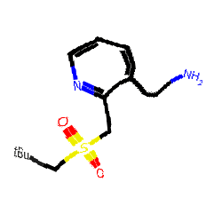 CC(C)(C)CS(=O)(=O)Cc1ncccc1CN